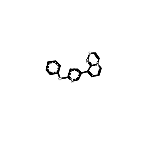 C1=CN2C=CSN=C2C(c2ccc(Oc3ccccc3)nc2)=C1